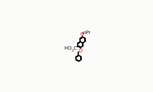 CCCOc1ccc2cc(OCc3ccccc3)c(C(=O)O)cc2c1